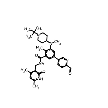 Cc1cc(C)c(CNC(=O)c2cc(-c3ccc(C=O)nc3)cc(N(C)C3CCN(C(C)(C)C)CC3)c2C)c(=O)[nH]1